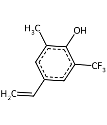 C=Cc1cc(C)c(O)c(C(F)(F)F)c1